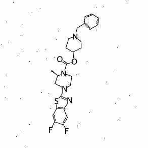 C[C@@H]1CN(c2nc3cc(F)c(F)cc3s2)C[C@@H](C)N1C(=O)OC1CCN(Cc2ccccc2)CC1